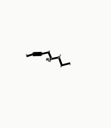 CC#CC[SiH2]OCC